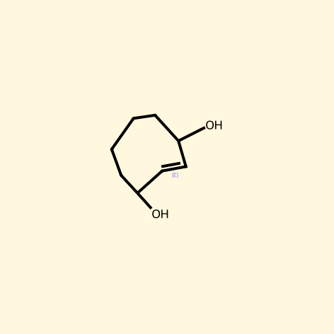 OC1/C=C/C(O)CCCC1